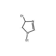 CCC1[CH]N(CC)[C]=N1